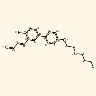 CCCCOCCOc1ccc(-c2ccc(F)c(/C=C/C=O)c2)cc1